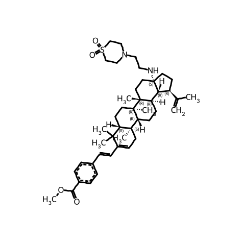 C=C(C)[C@@H]1CC[C@]2(NCCN3CCS(=O)(=O)CC3)CC[C@]3(C)[C@H](CC[C@@H]4[C@@]5(C)CC=C(C=Cc6ccc(C(=O)OC)cc6)C(C)(C)[C@@H]5CC[C@]43C)[C@@H]12